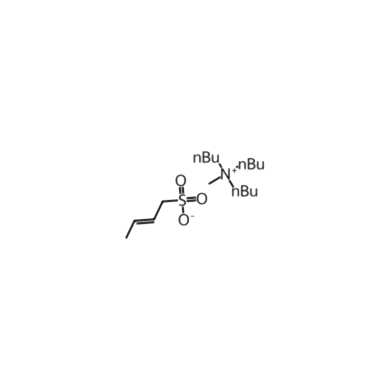 CC=CCS(=O)(=O)[O-].CCCC[N+](C)(CCCC)CCCC